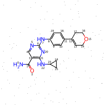 NC(=O)c1cnc(Nc2ccc(C3=CCOCC3)cc2)nc1NC1CC1